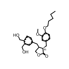 CCCCCOc1ccc(C[C@H]2C(=O)OCC2Cc2ccc(CO)c(CO)c2)cc1OC